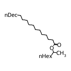 CCCCCCCCCCCCCCCCCCCCCC(=O)OC(C)CCCCCC